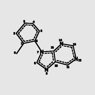 Cc1ccccc1-n1cnc2cncnc21